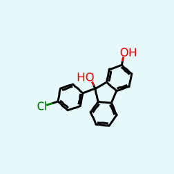 Oc1ccc2c(c1)C(O)(c1ccc(Cl)cc1)c1ccccc1-2